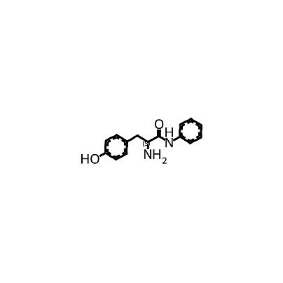 N[C@@H](Cc1ccc(O)cc1)C(=O)Nc1ccccc1